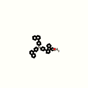 CCC1(CC)c2ccccc2-c2c(-c3ccc(N(c4ccc(-c5cccc6ccccc56)cc4)c4ccc(-c5cccc6ccccc56)cc4)cc3)cccc21